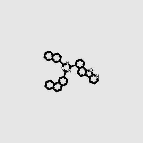 c1ccc2cc(-c3nc(-c4ccc5ccc6ccccc6c5c4)nc(-c4cccc5c4ccc4c6cccnc6oc54)n3)ccc2c1